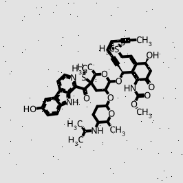 CC#C/C=C\C#C[C@H](OC1OC(C)C(SC)(C(=O)c2nccc3c2[nH]c2ccc(O)cc23)CC1OC1CCC(NC(C)C)C(C)O1)C1=C(NC(=O)OC)C(=O)C[C@H](O)/C1=C/CS(C)=S